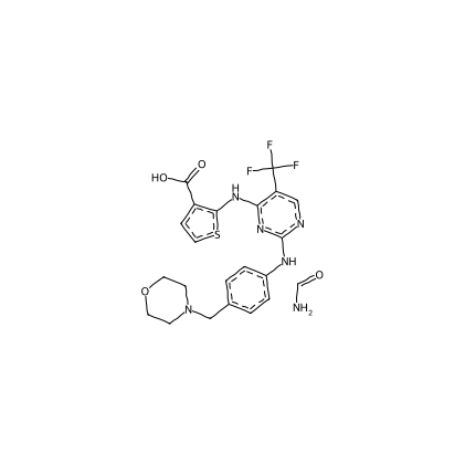 NC=O.O=C(O)c1ccsc1Nc1nc(Nc2ccc(CN3CCOCC3)cc2)ncc1C(F)(F)F